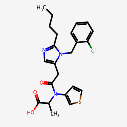 CCCCc1ncc(CC(=O)N(c2ccsc2)C(C)C(=O)O)n1Cc1ccccc1Cl